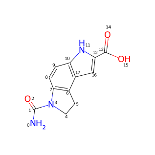 NC(=O)N1CCc2c1ccc1[nH]c(C(=O)O)cc21